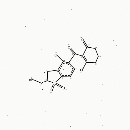 CCCSC1Cc2c(ccc(C(=O)C3=C(Cl)CCCC3=O)c2Cl)S1(=O)=O